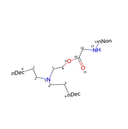 CCCCCCCCCCCCN(CCCCCCCCCCCC)CCOC(=O)CNCCCCCCCCC